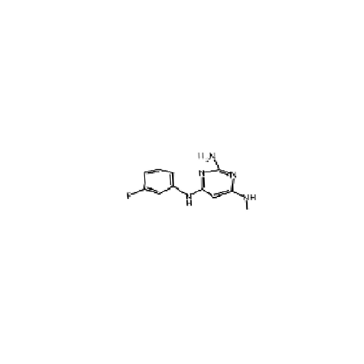 CNc1cc(Nc2cccc(F)c2)nc(N)n1